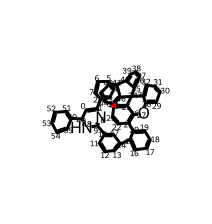 C1=C(c2ccccc2)N=C(c2cccc(-c3ccccc3-c3cccc4c3Oc3ccccc3C43c4ccccc4-c4ccccc43)c2)NC1c1ccccc1